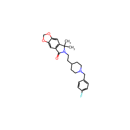 CC1(C)c2cc3c(cc2C(=O)N1CCC1CCN(Cc2ccc(F)cc2)CC1)OCO3